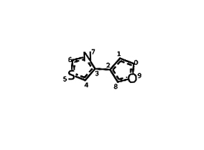 [c]1cc(-c2cscn2)co1